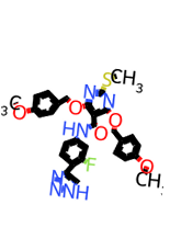 COc1ccc(COc2nc(SC)nc(OCc3ccc(OC)cc3)c2C(=O)Nc2ccc(-c3c[nH]nn3)c(F)c2)cc1